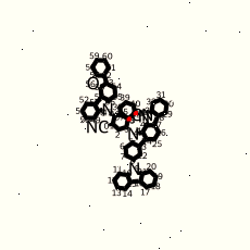 N#Cc1cc(-n2c3ccc(-n4c5ccccc5c5ccccc54)cc3c3ccc4c5ccccc5n(-c5ccccc5)c4c32)c(C#N)cc1-n1c2ccccc2c2c3oc4ccccc4c3ccc21